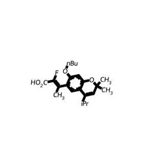 CCCCOc1cc2c(cc1C(C)=C(F)C(=O)O)C(C(C)C)=CC(C)(C)O2